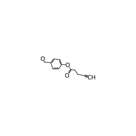 C#CCCC(=O)Oc1ccc(C=O)cc1